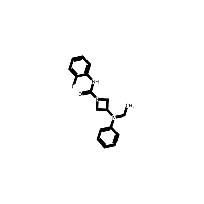 CCN(c1ccccc1)C1CN(C(=O)Nc2ccccc2F)C1